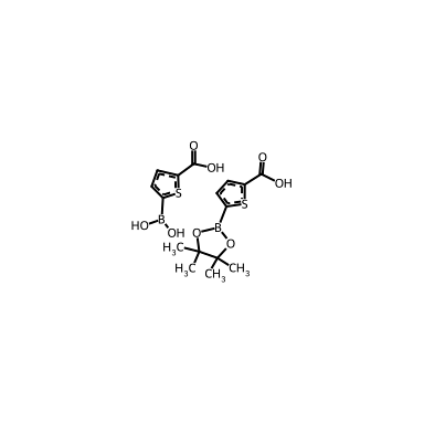 CC1(C)OB(c2ccc(C(=O)O)s2)OC1(C)C.O=C(O)c1ccc(B(O)O)s1